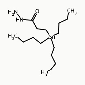 CCC[CH2][Sn]([CH2]CCC)([CH2]CCC)[CH2]CC(=O)NN